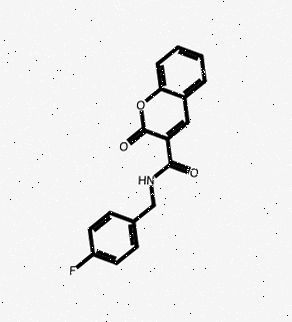 O=C(NCc1ccc(F)cc1)c1cc2ccccc2oc1=O